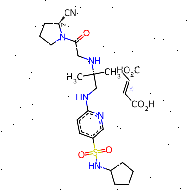 CC(C)(CNc1ccc(S(=O)(=O)NC2CCCC2)cn1)NCC(=O)N1CCC[C@H]1C#N.O=C(O)/C=C/C(=O)O